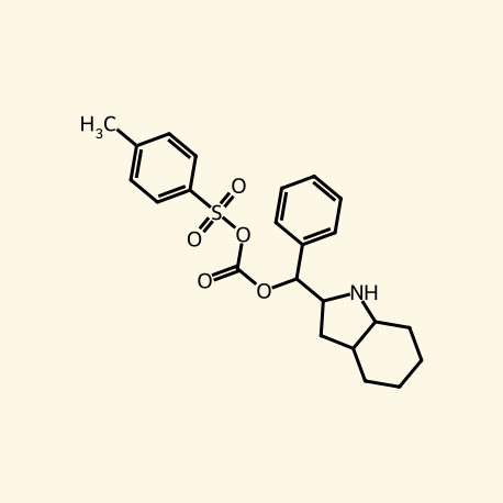 Cc1ccc(S(=O)(=O)OC(=O)OC(c2ccccc2)C2CC3CCCCC3N2)cc1